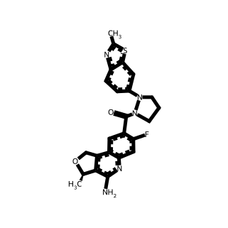 Cc1nc2ccc(N3CCCN3C(=O)c3cc4c5c(c(N)nc4cc3F)[C@@H](C)OC5)cc2s1